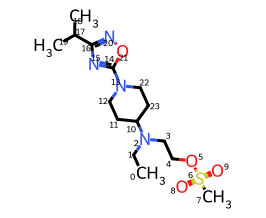 CCN(CCOS(C)(=O)=O)C1CCN(c2nc(C(C)C)no2)CC1